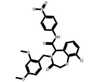 COc1ccc(CN2C(=O)COc3c(Cl)cccc3C2C(=O)Nc2ccc([N+](=O)[O-])cc2)c(OC)c1